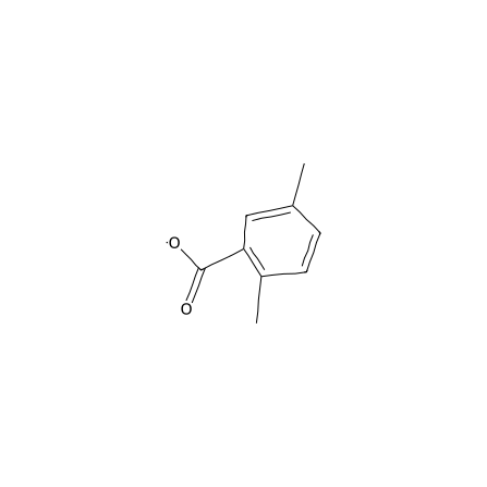 Cc1ccc(C)c(C([O])=O)c1